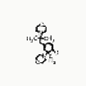 CC(C)(CC1=CC(C)(N2CCOCC2)C(=O)C=C1)N1CCOCC1